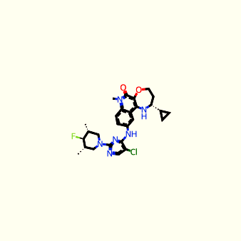 C[C@@H]1CN(c2ncc(Cl)c(Nc3ccc4c(c3)c3c(c(=O)n4C)OCC[C@H](C4CC4)N3)n2)C[C@H](C)[C@H]1F